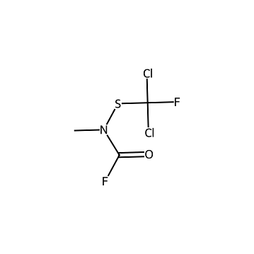 CN(SC(F)(Cl)Cl)C(=O)F